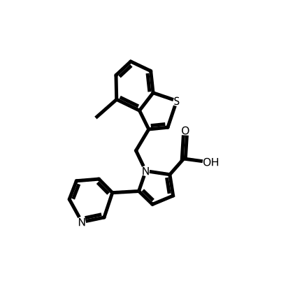 Cc1cccc2scc(Cn3c(C(=O)O)ccc3-c3cccnc3)c12